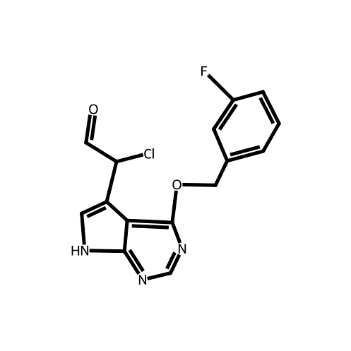 O=CC(Cl)c1c[nH]c2ncnc(OCc3cccc(F)c3)c12